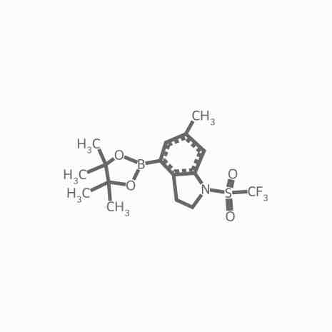 Cc1cc(B2OC(C)(C)C(C)(C)O2)c2c(c1)N(S(=O)(=O)C(F)(F)F)CC2